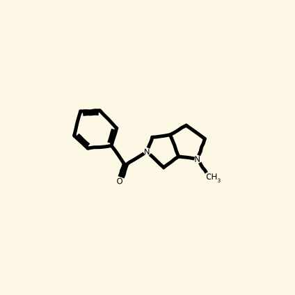 CN1CCC2CN(C(=O)c3ccccc3)CC21